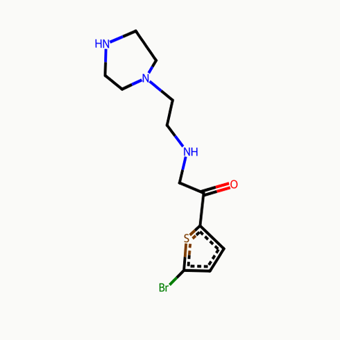 O=C(CNCCN1CCNCC1)c1ccc(Br)s1